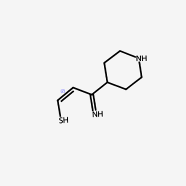 N=C(/C=C\S)C1CCNCC1